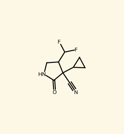 N#CC1(C2CC2)C(=O)NCC1C(F)F